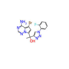 CC(O)(c1cn(-c2ccccc2F)nn1)c1cc(Br)c2c(N)ncnn12